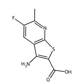 Cc1nc2sc(C(=O)O)c(N)c2cc1F